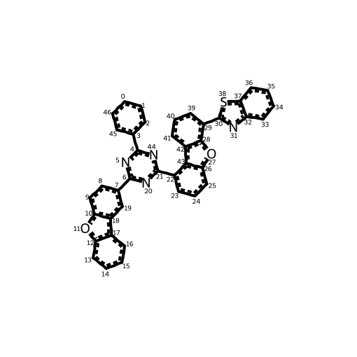 c1ccc(-c2nc(-c3ccc4oc5ccccc5c4c3)nc(-c3cccc4oc5c(-c6nc7ccccc7s6)cccc5c34)n2)cc1